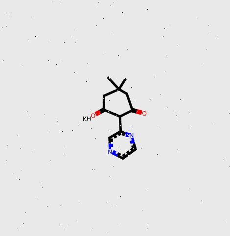 CC1(C)CC(=O)C(c2cnccn2)C(=O)C1.[KH]